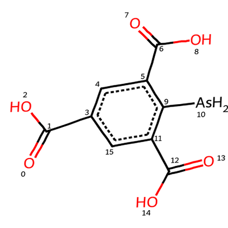 O=C(O)c1cc(C(=O)O)c([AsH2])c(C(=O)O)c1